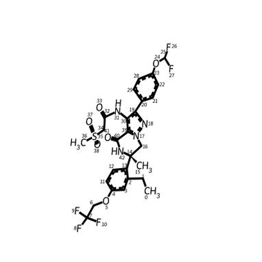 CCc1cc(OCC(F)(F)F)ccc1[C@@]1(C)Cn2nc(-c3ccc(OC(F)F)cc3)c(NC(=O)CS(C)(=O)=O)c2C(=O)N1